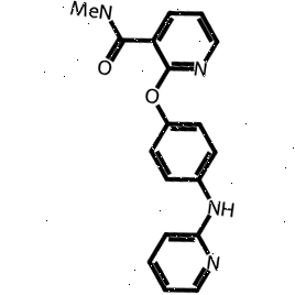 CNC(=O)c1cccnc1Oc1ccc(Nc2ccccn2)cc1